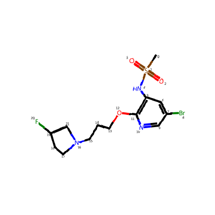 CS(=O)(=O)Nc1cc(Br)cnc1OCCCN1CCC(F)C1